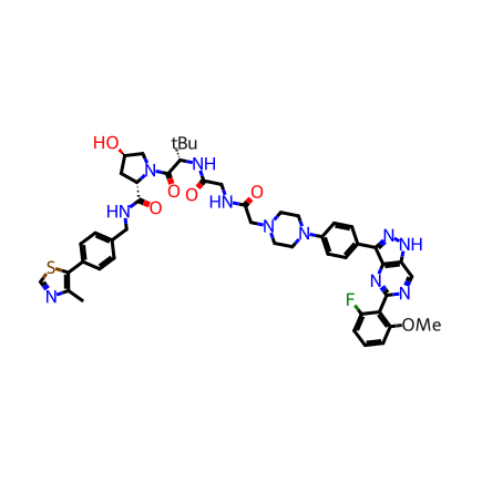 COc1cccc(F)c1-c1ncc2[nH]nc(-c3ccc(N4CCN(CC(=O)NCC(=O)N[C@H](C(=O)N5C[C@H](O)C[C@H]5C(=O)NCc5ccc(-c6scnc6C)cc5)C(C)(C)C)CC4)cc3)c2n1